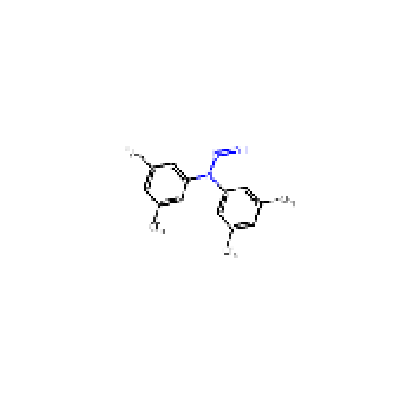 N=NN(c1cc(C(F)(F)F)cc(C(F)(F)F)c1)c1cc(C(F)(F)F)cc(C(F)(F)F)c1